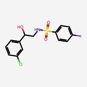 O=S(=O)(NCC(O)c1cccc(Cl)c1)c1ccc(I)cc1